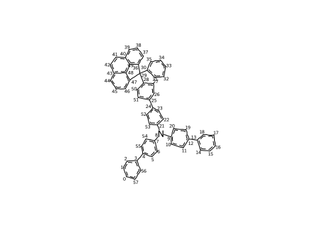 c1ccc(-c2ccc(N(c3ccc(-c4ccccc4)cc3)c3ccc(-c4ccc(C5(c6ccccc6)c6cccc7ccc8cccc5c8c67)cc4)cc3)cc2)cc1